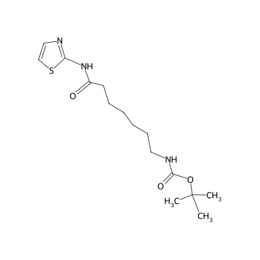 CC(C)(C)OC(=O)NCCCCCCC(=O)Nc1nccs1